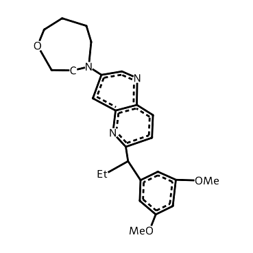 CCC(c1cc(OC)cc(OC)c1)c1ccc2ncc(N3CCCCOCC3)cc2n1